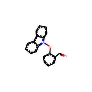 O=Cc1ccccc1On1c2ccccc2c2ccccc21